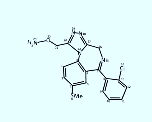 CSc1ccc2c(c1)C(c1ccccc1Cl)=NCc1nnc(CON)n1-2